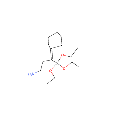 CCO[Si](OCC)(OCC)C(CCN)=C1CCCCC1